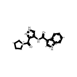 O=C(Nc1c[nH]nc1C(=O)N1CCCC1)c1c[nH]c2ccccc12